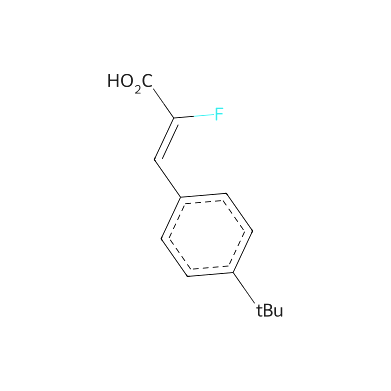 CC(C)(C)c1ccc(/C=C(\F)C(=O)O)cc1